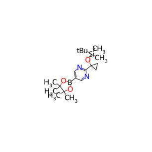 CC1(C)OB(c2cnc(C3(O[Si](C)(C)C(C)(C)C)CC3)nc2)OC1(C)C